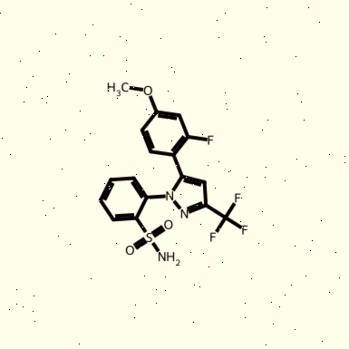 COc1ccc(-c2cc(C(F)(F)F)nn2-c2ccccc2S(N)(=O)=O)c(F)c1